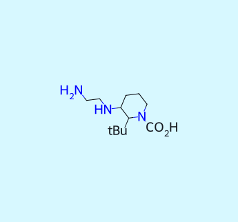 CC(C)(C)C1C(NCCN)CCCN1C(=O)O